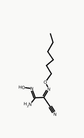 CCCCCCON=C(C#N)C(N)=NO